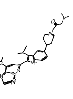 COc1cc(-c2[nH]c3ccc(C4CCN(C(=O)CN(C)C)CC4)cc3c2C(C)C)nn2ncnc12